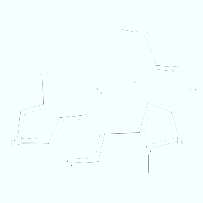 CNc1c(-c2c3cc(OC)ccc3nn2C)cnc2[nH]cc(Cl)c12